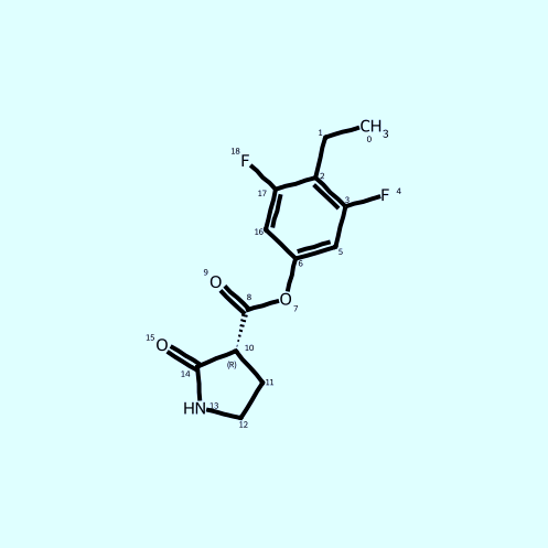 CCc1c(F)cc(OC(=O)[C@@H]2CCNC2=O)cc1F